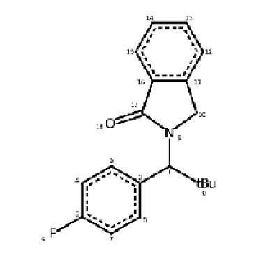 CC(C)(C)C(c1ccc(F)cc1)N1Cc2ccccc2C1=O